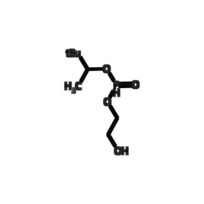 CC(O[PH](=O)OCCO)C(C)(C)C